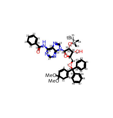 COC1(OC)C=CC(C(OC[C@H]2O[C@@H](n3cnc4c(NC(=O)c5ccccc5)ncnc43)[C@H](O[Si](C)(C)C(C)(C)C)[C@@H]2O)(c2ccccc2)c2ccccc2)=CC1